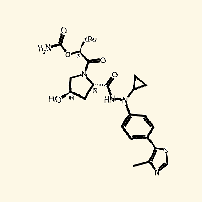 Cc1ncsc1-c1ccc(N(NC(=O)[C@@H]2C[C@@H](O)CN2C(=O)[C@@H](OC(N)=O)C(C)(C)C)C2CC2)cc1